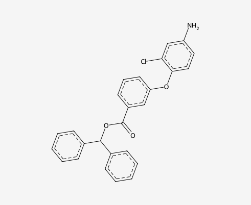 Nc1ccc(Oc2cccc(C(=O)OC(c3ccccc3)c3ccccc3)c2)c(Cl)c1